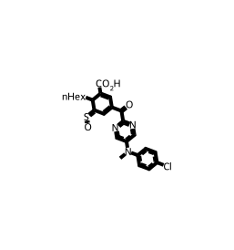 CCCCCCC1C(C(=O)O)=CC(C(=O)c2ncc(N(C)c3ccc(Cl)cc3)cn2)=CC1=S=O